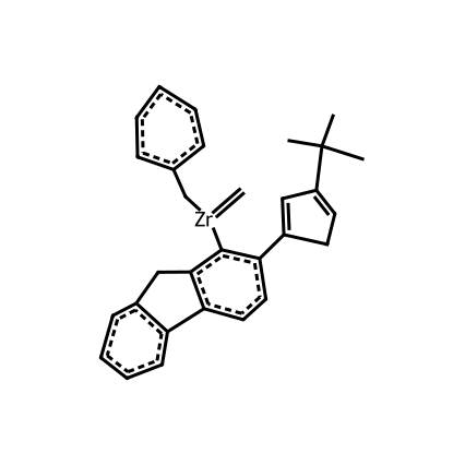 [CH2]=[Zr]([CH2]c1ccccc1)[c]1c(C2=CC(C(C)(C)C)=CC2)ccc2c1Cc1ccccc1-2